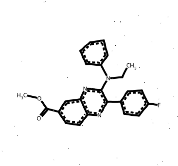 CCN(c1ccccc1)c1nc2cc(C(=O)OC)ccc2nc1-c1ccc(F)cc1